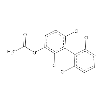 CC(=O)Oc1ccc(Cl)c(-c2c(Cl)cccc2Cl)c1Cl